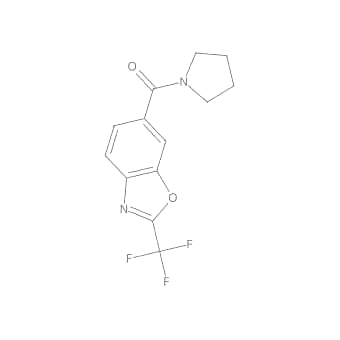 O=C(c1ccc2nc(C(F)(F)F)oc2c1)N1CCCC1